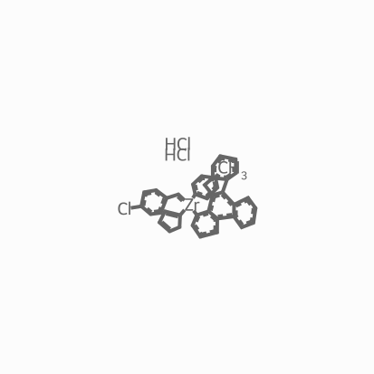 Cc1cc[c]([Zr](=[CH]c2ccc(Cl)cc2)([C]2=CC=CC2)[c]2cccc3c2c2c(c4ccccc43)-c3ccccc3C2)cc1.Cl.Cl